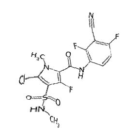 CNS(=O)(=O)c1c(F)c(C(=O)Nc2ccc(F)c(C#N)c2F)n(C)c1Cl